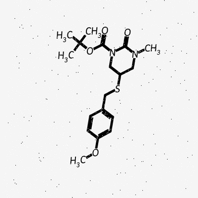 COc1ccc(CSC2CN(C)C(=O)N(C(=O)OC(C)(C)C)C2)cc1